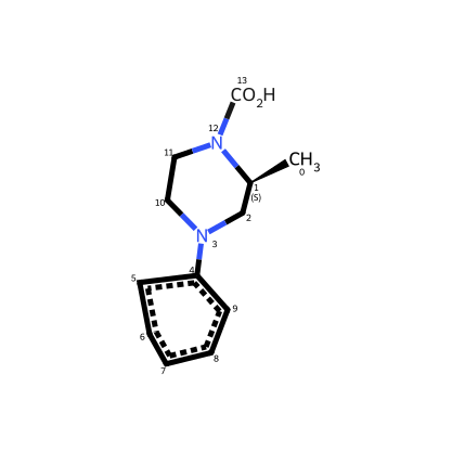 C[C@H]1CN(c2ccccc2)CCN1C(=O)O